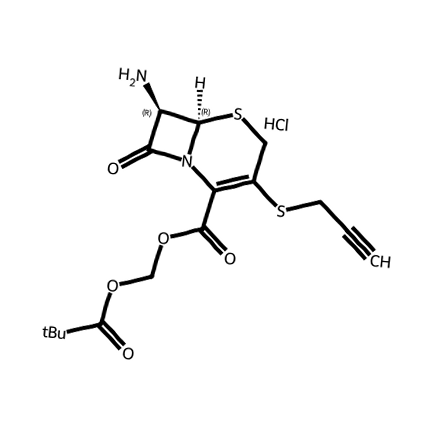 C#CCSC1=C(C(=O)OCOC(=O)C(C)(C)C)N2C(=O)[C@@H](N)[C@H]2SC1.Cl